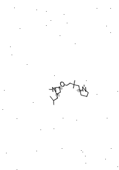 CC(C)C[C@@H]1C[C@H](OCCC(C)(C)C[C@]2(C)CCCN2C)CN1C